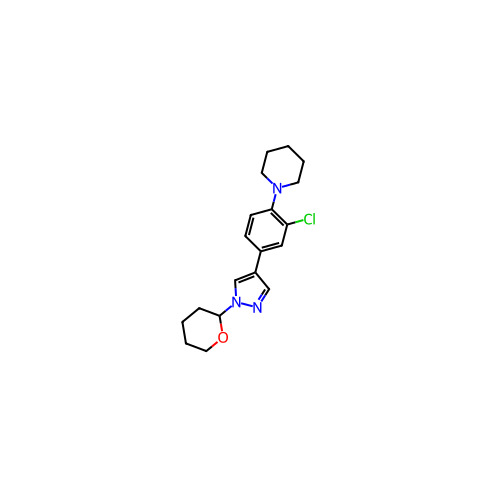 Clc1cc(-c2cnn(C3CCCCO3)c2)ccc1N1CCCCC1